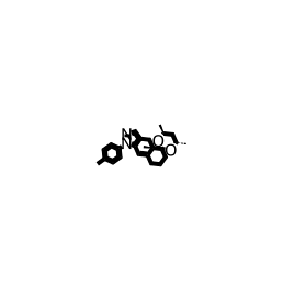 Cc1ccc(-n2ncc3c2C=C2CCCC4(O[C@@H](C)C[C@H](C)O4)[C@@]2(C)C3)cc1